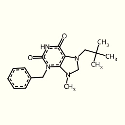 CN1CN(CC(C)(C)C)c2c1n(Cc1ccccc1)c(=O)[nH]c2=O